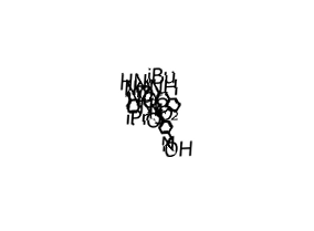 CC[C@H](C)[C@H](NC(=O)N(C)Cc1cccc([N+](=O)[O-])c1)C(=O)N[C@@H](Cc1ccccc1)[C@H](O)CN(CC(C)C)S(=O)(=O)c1ccc(/C=N/O)cc1